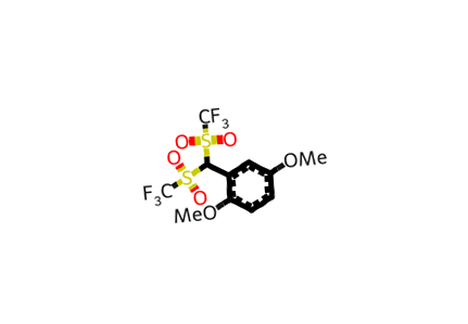 COc1ccc(OC)c(C(S(=O)(=O)C(F)(F)F)S(=O)(=O)C(F)(F)F)c1